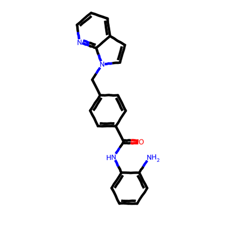 Nc1ccccc1NC(=O)c1ccc(Cn2ccc3cccnc32)cc1